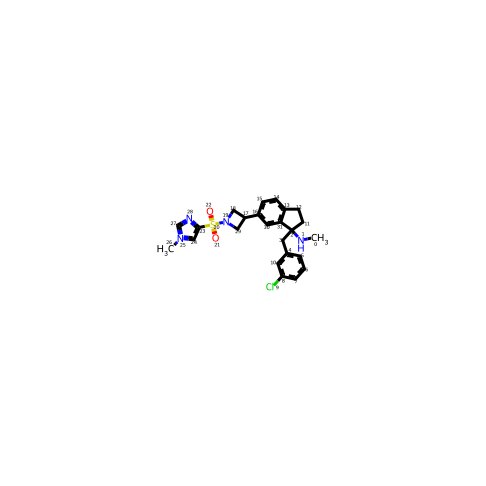 CNC1(Cc2cccc(Cl)c2)CCc2ccc(C3CN(S(=O)(=O)c4cn(C)cn4)C3)cc21